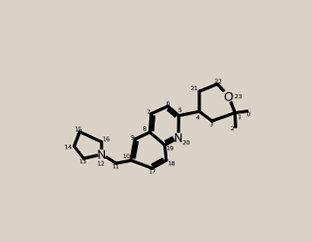 CC1(C)CC(c2ccc3cc(CN4CCCC4)ccc3n2)CCO1